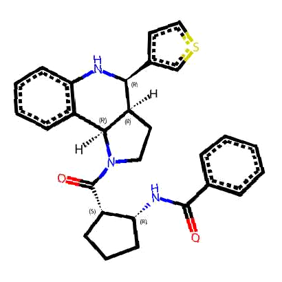 O=C(N[C@@H]1CCC[C@@H]1C(=O)N1CC[C@@H]2[C@H](c3ccsc3)Nc3ccccc3[C@@H]21)c1ccccc1